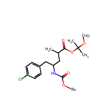 CC(CC(Cc1ccc(Cl)cc1)NC(=O)OC(C)(C)C)C(=O)OC(C)(C)OC=O